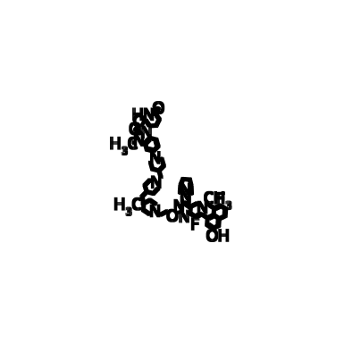 CCc1c(F)ccc2cc(O)cc(-c3ncc4c(N5CC6CCC(C5)N6)nc(OCCN5CCC(C)(CC6CCN(CC7CCN(c8ccc9c(c8)n(C)c(=O)n9C8CCC(=O)NC8=O)CC7)CC6)CC5)nc4c3F)c12